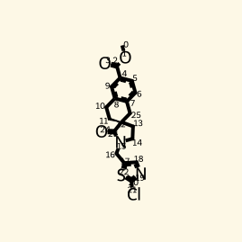 COC(=O)c1ccc2c(c1)CC[C@]1(CCN(Cc3cnc(Cl)s3)C1=O)C2